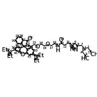 C#CCN(CC#C)Cc1cn(CCC(=O)NCCOCCOCCN2C(=O)c3ccccc3C23c2ccc(N(CC)CC)cc2Oc2cc(N(CC)CC)ccc23)nn1